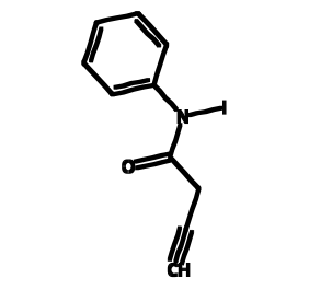 C#CCC(=O)N(I)c1ccccc1